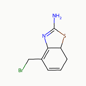 NC1=NC2=C(CBr)C=CCC2S1